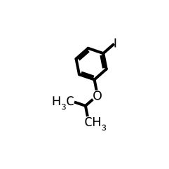 CC(C)Oc1cccc(I)c1